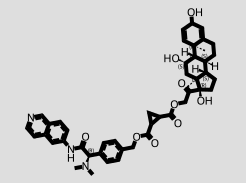 CN(C)[C@@H](C(=O)Nc1ccc2cnccc2c1)c1ccc(COC(=O)C2CC2C(=O)OCC(=O)[C@@]2(O)CC[C@H]3[C@@H]4CCC5=CC(O)C=C[C@]5(C)[C@H]4[C@@H](O)C[C@@]32C)cc1